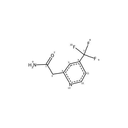 NC(=O)Cc1cc(C(F)(F)F)ccn1